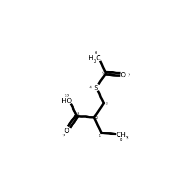 CCC(CSC(C)=O)C(=O)O